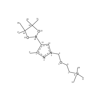 Cc1nn(COCC[Si](C)(C)C)cc1B1OC(C)(C)C(C)(C)O1